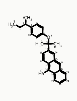 CCC(C)c1ccc(OC(C)(C)c2ccc3c(S)c4ccccc4cc3c2)cc1